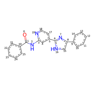 O=C(Nc1cc(-c2nc(-c3ccccc3)c[nH]2)ccn1)c1ccccc1